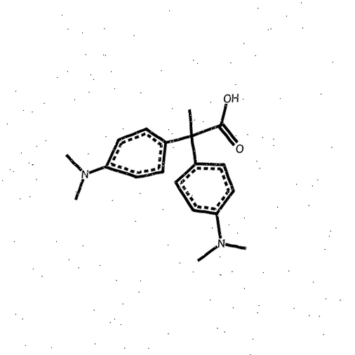 CN(C)c1ccc(C(C)(C(=O)O)c2ccc(N(C)C)cc2)cc1